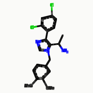 COc1ccc(Cn2cnc(-c3ccc(Cl)cc3Cl)c2C(C)N)cc1OC